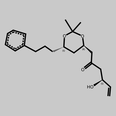 C=C[C@@H](O)CC(=O)C[C@H]1C[C@H](CCCc2ccccc2)OC(C)(C)O1